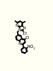 CCc1nc2c(C)cc(C)nc2n1Cc1ccc2nc(-c3ccccc3[N+](=O)[O-])cc(Cl)c2c1